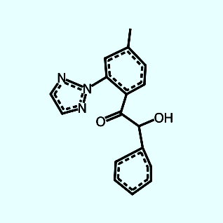 Cc1ccc(C(=O)C(O)c2ccccc2)c(-n2nccn2)c1